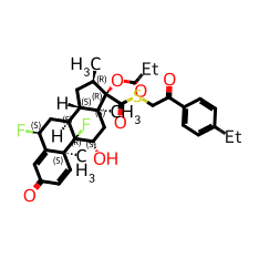 CCC(=O)O[C@]1(C(=O)SCC(=O)c2ccc(CC)cc2)[C@H](C)C[C@H]2[C@@H]3C[C@H](F)C4=CC(=O)C=C[C@]4(C)[C@@]3(F)[C@@H](O)C[C@@]21C